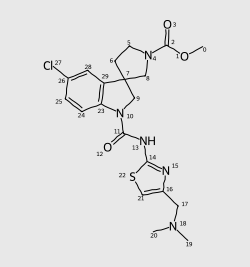 COC(=O)N1CCC2(C1)CN(C(=O)Nc1nc(CN(C)C)cs1)c1ccc(Cl)cc12